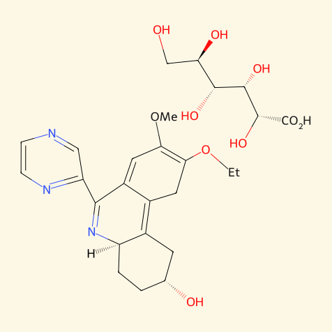 CCOC1=C(OC)C=C2C(c3cnccn3)=N[C@@H]3CC[C@@H](O)CC3=C2C1.O=C(O)[C@H](O)[C@@H](O)[C@H](O)[C@H](O)CO